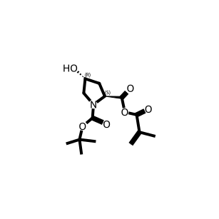 C=C(C)C(=O)OC(=O)[C@@H]1C[C@@H](O)CN1C(=O)OC(C)(C)C